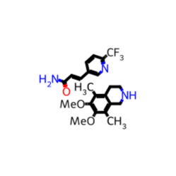 COc1c(C)c2c(c(C)c1OC)CNCC2.NC(=O)/C=C/c1ccc(C(F)(F)F)nc1